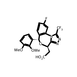 COc1cccc([C@H]2O[C@H](CC(=O)O)c3nnc(C(F)(F)F)n3-c3cc(F)ccc32)c1OC